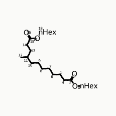 CCCCCCOC(=O)CCCCCCCC(C)CCC(=O)OCCCCCC